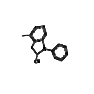 Cc1cccc2c1CC(C#N)N2c1ccccc1